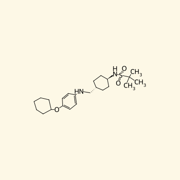 CC(C)(C)S(=O)(=O)N[C@H]1CC[C@H](CNc2ccc(OC3CCCCC3)cc2)CC1